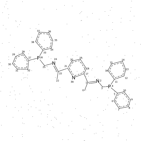 C/C(=N\CP(c1ccccc1)c1ccccc1)c1cccc(/C(C)=N/CP(c2ccccc2)c2ccccc2)n1